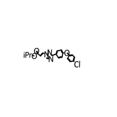 CC(C)OC(=O)/C=C/n1cnc(-c2ccc(Oc3ccc(Cl)cc3)cc2)n1